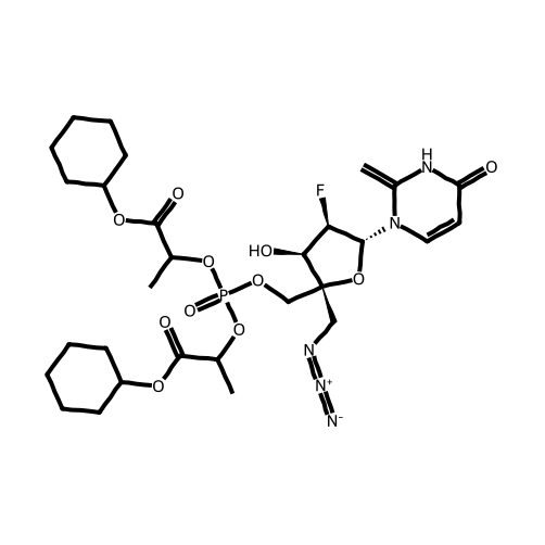 C=C1NC(=O)C=CN1[C@@H]1O[C@](CN=[N+]=[N-])(COP(=O)(OC(C)C(=O)OC2CCCCC2)OC(C)C(=O)OC2CCCCC2)[C@@H](O)[C@H]1F